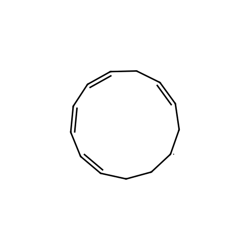 [CH]1CC=CCC=CC=CC=CCC1